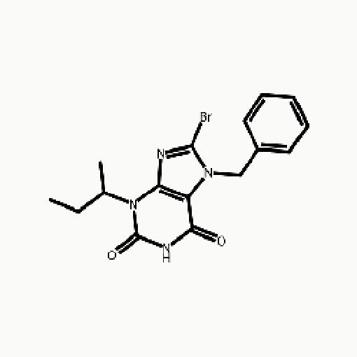 CCC(C)n1c(=O)[nH]c(=O)c2c1nc(Br)n2Cc1ccccc1